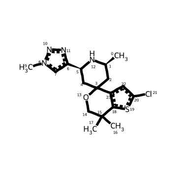 C[C@H]1CC2(C[C@@H](c3cn(C)nn3)N1)OCC(C)(C)c1sc(Cl)cc12